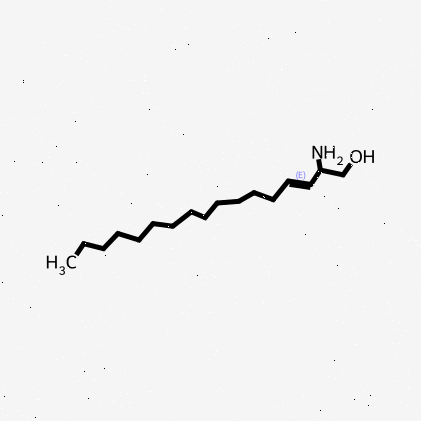 CCCCCCCCCCCCC/C=C/C(N)CO